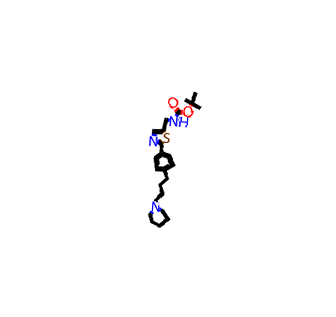 CC(C)(C)OC(=O)NCc1cnc(-c2ccc(CCCCN3CCCCC3)cc2)s1